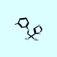 Cc1cccc(SCC(O)(c2cncs2)C(C)(C)C)c1